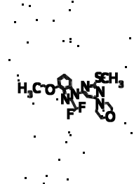 CCOc1cccc2c1nc(C(F)F)n2-c1cc(N2CCOCC2)nc(SC)n1